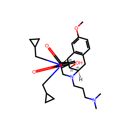 COc1ccc2c(c1)[C@]13CCN(CCCN(C)C)[C@H](C2)[C@]1(O)CCN(CC1CC1)C(=O)N(CC1CC1)C(=O)C3